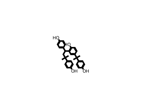 CC(C)(CC(c1ccc(O)cc1)c1cc(C(C)(C)c2ccc(O)cc2)ccc1O)c1ccc(O)cc1